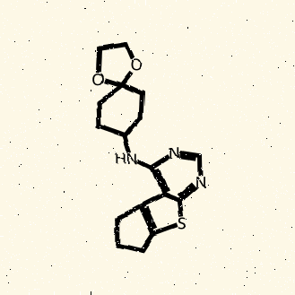 c1nc(NC2CCC3(CC2)OCCO3)c2c3c(sc2n1)CCC3